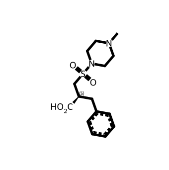 CN1CCN(S(=O)(=O)C[C@@H](Cc2ccccc2)C(=O)O)CC1